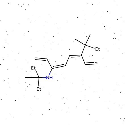 C=C/C(=C\C=C(/C=C)C(C)(C)CC)NC(C)(CC)CC